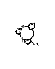 Nc1ccc2cc1CCc1cncc(c1)Nc1nccc(n1)N2